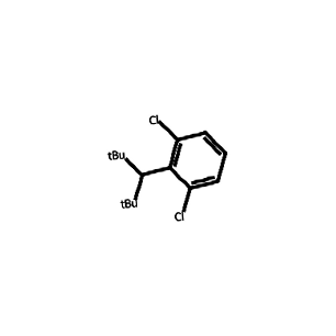 CC(C)(C)C(c1c(Cl)cccc1Cl)C(C)(C)C